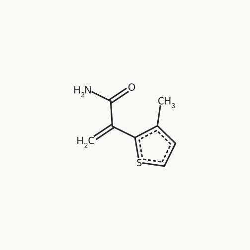 C=C(C(N)=O)c1sccc1C